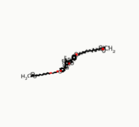 C=CC(=O)OCCCCCCCCCCCCCOc1ccc(C(=O)Oc2c(F)c(F)c(OC(=O)c3ccc(OCCCCCCCCCCCCCOC(=O)C=C)cc3)c(F)c2F)cc1